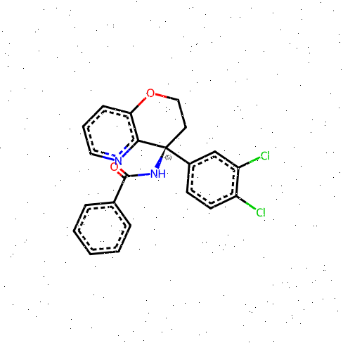 O=C(N[C@]1(c2ccc(Cl)c(Cl)c2)CCOc2cccnc21)c1ccccc1